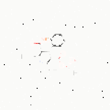 COC(C)OC(=O)C1=C(C)NC(C)=C(C(=O)O)C1c1ccccc1Cl